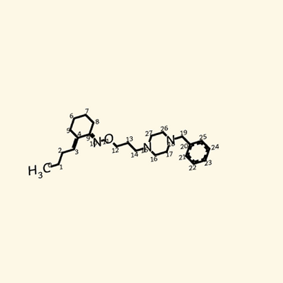 CCCC=C1CCCCC1=NOCCCN1CCN(Cc2ccccc2)CC1